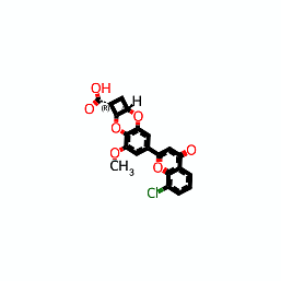 COc1cc(-c2cc(=O)c3cccc(Cl)c3o2)cc2c1OC1[C@H](C[C@H]1C(=O)O)O2